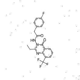 CCc1nc2c(C(F)(F)F)cccc2c(=O)n1NC(=O)Cc1ccc(F)cc1